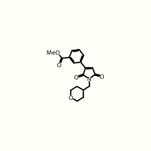 COC(=O)c1cccc(C2=CC(=O)N(CC3CCOCC3)C2=O)c1